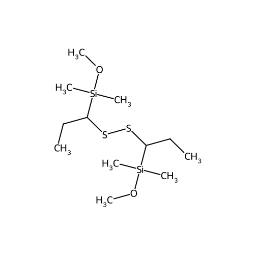 CCC(SSC(CC)[Si](C)(C)OC)[Si](C)(C)OC